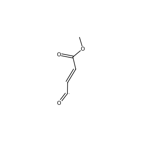 COC(=O)/C=C/[C]=O